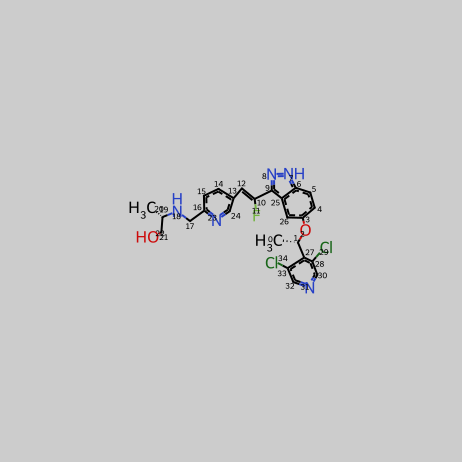 C[C@H](Oc1ccc2[nH]nc(/C(F)=C/c3ccc(CN[C@@H](C)CO)nc3)c2c1)c1c(Cl)cncc1Cl